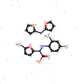 Cc1ccc(C(Nc2ccc(Cl)cc2C)C(=O)O)o1.c1coc(Cc2cccs2)c1